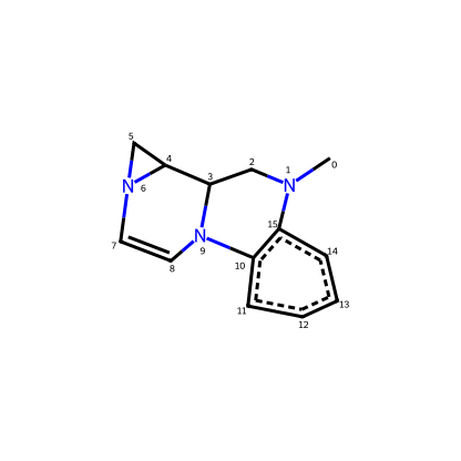 CN1CC2C3CN3C=CN2c2ccccc21